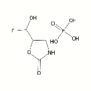 O=C1NCC(C(O)F)O1.O=P(O)(O)O